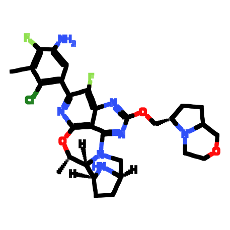 Cc1c(F)c(N)cc(-c2nc3c4c(nc(OC[C@@H]5CCC6COCCN65)nc4c2F)N2C[C@H]4CC[C@H](N4)[C@H]2[C@H](C)O3)c1Cl